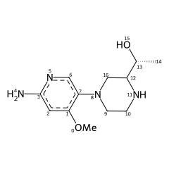 COc1cc(N)ncc1N1CCNC([C@@H](C)O)C1